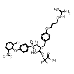 N=C(N)NOCCCOc1ccc(C[C@H](NS(=O)(=O)c2ccc(Oc3c(Cl)cccc3[N+](=O)[O-])cc2)C(=O)O)cc1.O=C(O)C(F)(F)F